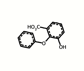 O=C(O)c1cccc(O)c1Oc1ccccc1